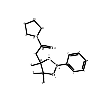 CC1(C)OB(c2ccccc2)OC1(C)CC(=O)N1CCCC1